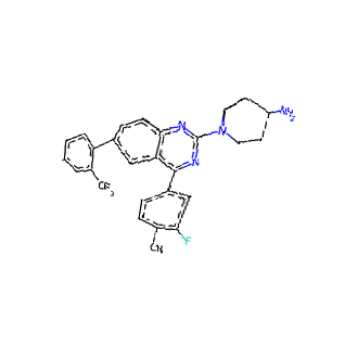 N#Cc1ccc(-c2nc(N3CCC(N)CC3)nc3ccc(-c4ccccc4C(F)(F)F)cc23)cc1F